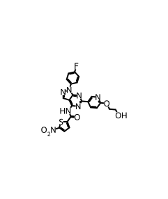 O=C(Nc1nc(-c2ccc(OCCO)nc2)nc2c1cnn2-c1ccc(F)cc1)c1ccc([N+](=O)[O-])s1